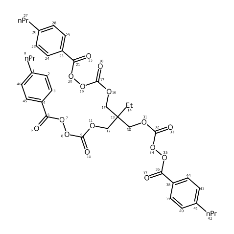 CCCc1ccc(C(=O)OOC(=O)OCC(CC)(COC(=O)OOC(=O)c2ccc(CCC)cc2)COC(=O)OOC(=O)c2ccc(CCC)cc2)cc1